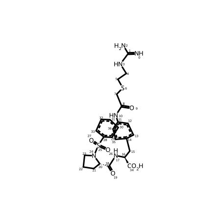 N=C(N)NCCSCC(=O)Nc1ccc(C[C@H](NC(=O)[C@@H]2CCCN2S(=O)(=O)c2ccccc2)C(=O)O)cc1